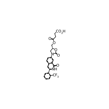 O=C(O)CCC(=O)OC[C@@H]1CN(c2ccc3cc(-c4ccccc4C(F)(F)F)[nH]c(=O)c3c2)C(=O)O1